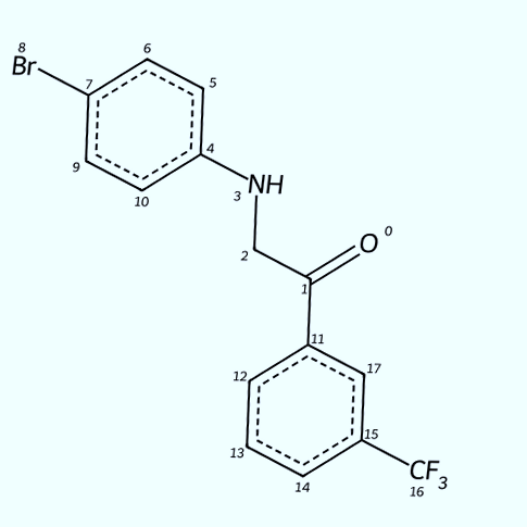 O=C(CNc1ccc(Br)cc1)c1cccc(C(F)(F)F)c1